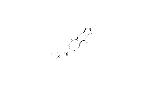 CC1CN(C(=O)OC(C)(C)C)CCc2c1nc1ccnn1c2O